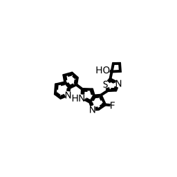 OC1(c2ncc(-c3c(F)cnc4[nH]c(-c5cccc6cccnc56)cc34)s2)CCC1